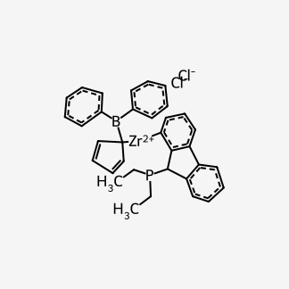 CCP(CC)C1c2ccccc2-c2ccc[c]([Zr+2][C]3(B(c4ccccc4)c4ccccc4)C=CC=C3)c21.[Cl-].[Cl-]